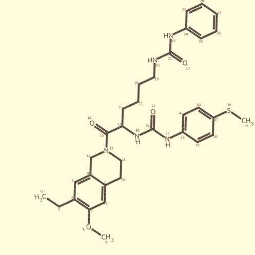 CCc1cc2c(cc1OC)CCN(C(=O)C(CCCCNC(=O)Nc1ccccc1)NC(=O)Nc1ccc(SC)cc1)C2